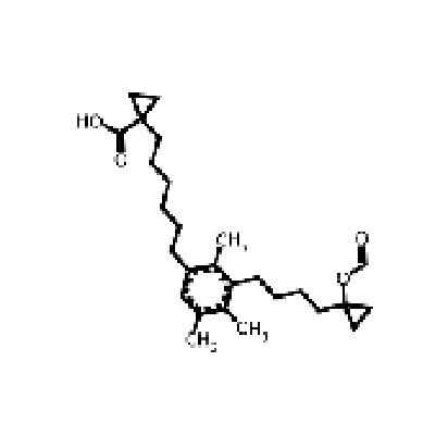 Cc1cc(CCCCCCC2(C(=O)O)CC2)c(C)c(CCCCC2(OC=O)CC2)c1C